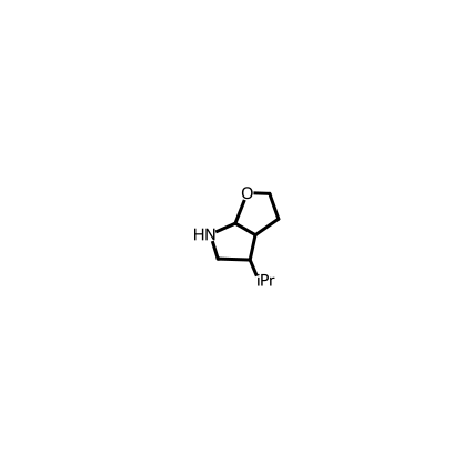 CC(C)C1CNC2OCCC21